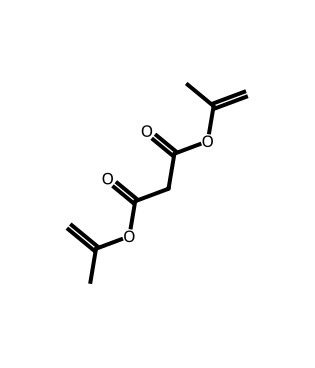 C=C(C)OC(=O)CC(=O)OC(=C)C